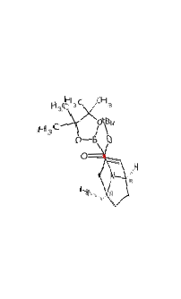 CC(C)(C)OC(=O)N1[C@H]2CC[C@@H]1C=C(B1OC(C)(C)C(C)(C)O1)C2